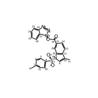 Cc1ccc(S(=O)(=O)n2cc(C)c3ccc(C(=O)On4nnc5ccccc54)cc32)cc1